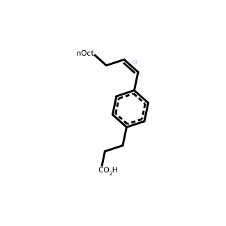 CCCCCCCCC/C=C\c1ccc(CCC(=O)O)cc1